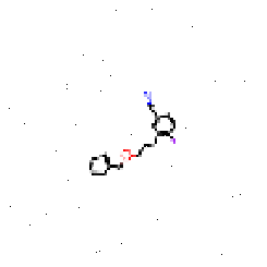 N#Cc1ccc(I)c(CCCOCc2ccccc2)c1